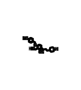 N#Cc1ccc(COc2ccc3c(CCC4CCNCC4)noc3c2CO)cc1